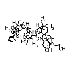 C#CCC(NC(=O)[C@@H]1[C@@H]2[C@H](CN1C(=O)[C@@H](NC(=O)N[C@H](CN(C(C)C)S(=O)(=O)c1cccs1)C(C)(C)C)C(C)(C)C)C2(C)C)C(=O)C(=O)NCC=C